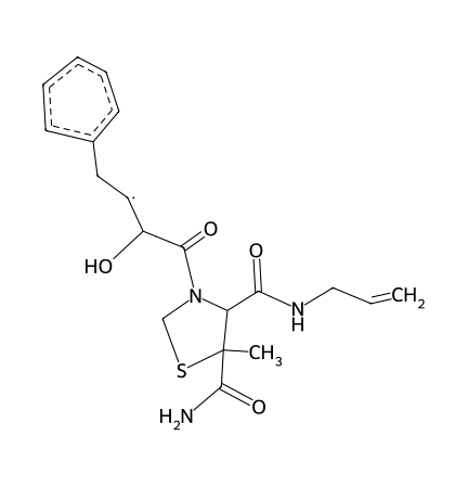 C=CCNC(=O)C1N(C(=O)C(O)[CH]Cc2ccccc2)CSC1(C)C(N)=O